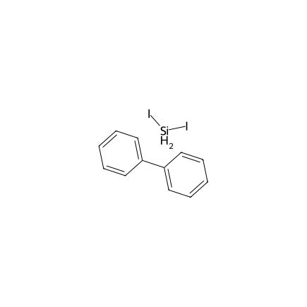 I[SiH2]I.c1ccc(-c2ccccc2)cc1